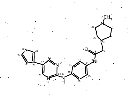 CN1CCN(CC(=O)Nc2ccc(Nc3ncc(-c4ccsc4)cn3)cc2)CC1